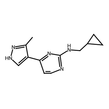 Cc1n[nH]cc1-c1ccnc(NCC2CC2)n1